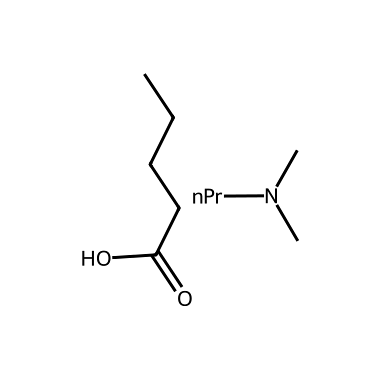 CCCCC(=O)O.CCCN(C)C